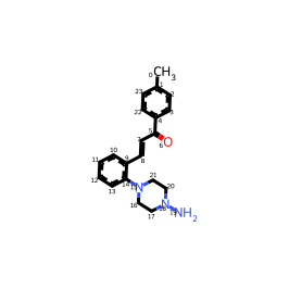 Cc1ccc(C(=O)/C=C/c2ccccc2N2CCN(N)CC2)cc1